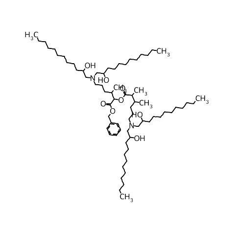 CCCCCCCCCCC(O)CN(CCCC(C)C(C)C(=O)OC(C(=O)OCc1ccccc1)C(C)CCCN(CC(O)CCCCCCCCCC)CC(O)CCCCCCCCCC)CC(O)CCCCCCCCCC